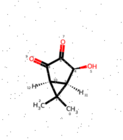 CC1(C)[C@@H]2[C@H](O)C(=O)C(=O)[C@@H]21